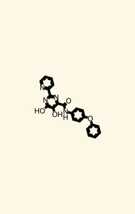 O=C(Nc1ccc(Oc2ccccc2)cc1)c1nc(-c2ccccn2)nc(O)c1O